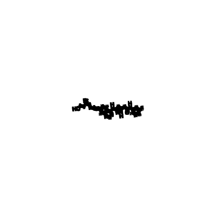 CCN(CCO)CCC#Cc1ccc2c(Nc3cc(CC(=O)Nc4cccc(F)c4)[nH]n3)ncnc2c1